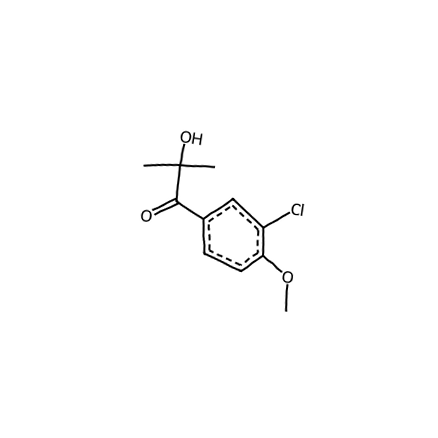 COc1ccc(C(=O)C(C)(C)O)cc1Cl